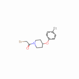 CCc1ccc(OC2CCN(C(=O)CBr)CC2)cc1